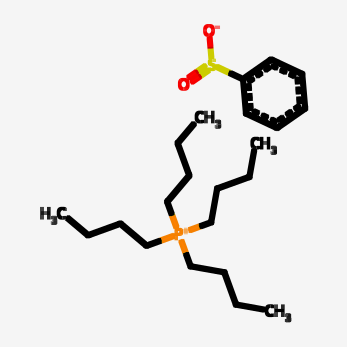 CCCC[P+](CCCC)(CCCC)CCCC.O=S([O-])c1ccccc1